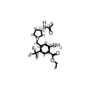 CCOC(=O)c1cc(C(F)(F)F)c(CN2CC[C@H](NC(C)=O)C2)cc1N